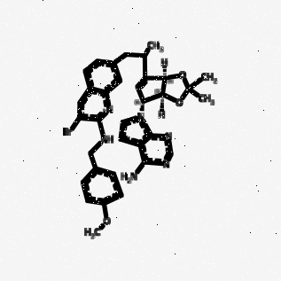 COc1ccc(CNc2nc3cc(CC(C)C4=C[C@@H](n5ccc6c(N)ncnc65)[C@@H]5OC(C)(C)O[C@H]45)ccc3cc2Br)cc1